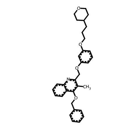 Cc1c(COc2cccc(OCCCC3CCOCC3)c2)nc2ccccc2c1OCc1ccccc1